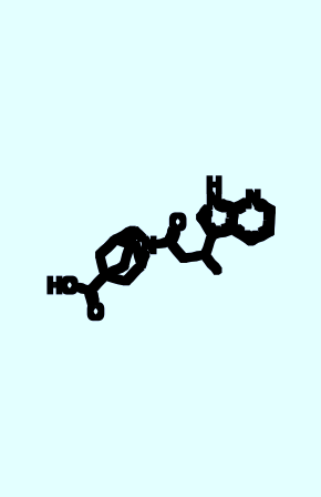 CC(CC(=O)N1C2CC3CC(C(=O)O)(C2)CC31)c1c[nH]c2ncccc12